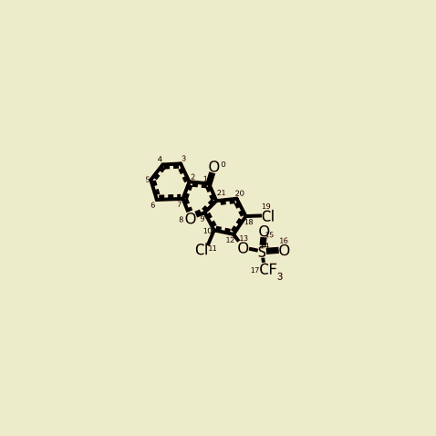 O=c1c2ccccc2oc2c(Cl)c(OS(=O)(=O)C(F)(F)F)c(Cl)cc12